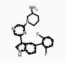 NC1CCCN(c2cncc(-c3c[nH]c4ccc(-c5c(F)cccc5F)cc34)n2)C1